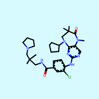 CN1C(=O)C(C)(C)CN(C2CCCC2)c2nc(Nc3ccc(C(=O)NCC(C)(C)CN4CCCC4)cc3Cl)ncc21